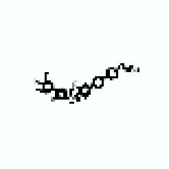 CCCCOC1CCC(C2CCC(c3cc(F)c(C(F)(F)Oc4ccc(-c5cc(F)c(F)c(F)c5)c(F)c4)c(F)c3)CC2)CC1